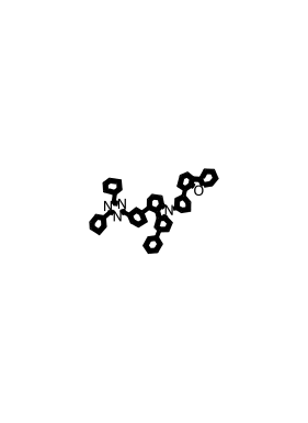 c1ccc(-c2ccc3c(c2)c2c(-c4cccc(-c5nc(-c6ccccc6)nc(-c6ccccc6)n5)c4)cccc2n3-c2cccc(-c3cccc4c3oc3ccccc34)c2)cc1